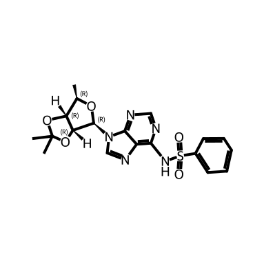 C[C@H]1O[C@@H](n2cnc3c(NS(=O)(=O)c4ccccc4)ncnc32)[C@@H]2OC(C)(C)O[C@@H]21